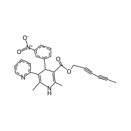 CC#CC#CCOC(=O)C1=C(C)NC(C)=C(c2ccccn2)C1c1cccc([N+](=O)[O-])c1